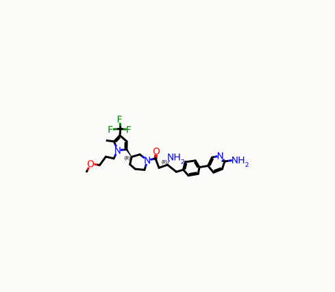 COCCCn1c([C@@H]2CCCN(C(=O)C[C@H](N)Cc3ccc(-c4ccc(N)nc4)cc3)C2)cc(C(F)(F)F)c1C